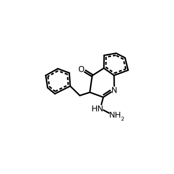 NNC1=Nc2ccccc2C(=O)C1Cc1ccccc1